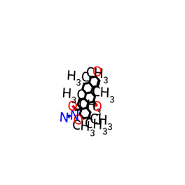 CON(C#N)C(=O)C12CCC(C)(C)CC1C1C(=O)CC3C4(C)C=CC(=O)C(C)(C)C4CCC3(C)C1(C)CC2